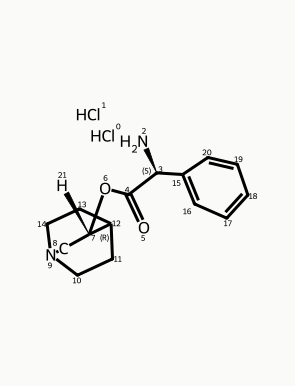 Cl.Cl.N[C@H](C(=O)O[C@H]1CN2CCC1CC2)c1ccccc1